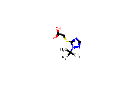 CC(C)(C)n1ncnc1SCC(=O)O